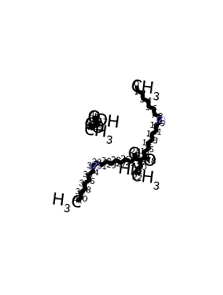 CCCCCCCC/C=C\CCCCCCCC(=O)C(CNC)C(=O)CCCCCCC/C=C\CCCCCCCC.COS(=O)(=O)O